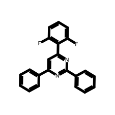 Fc1cccc(F)c1-c1cc(-c2ccccc2)nc(-c2ccccc2)n1